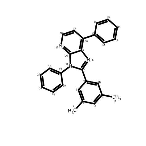 Cc1cc(C)cc(-c2nc3c(-c4ccccc4)ccnc3n2-c2ccccc2)c1